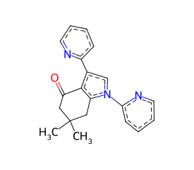 CC1(C)CC(=O)c2c(-c3ccccn3)cn(-c3ccccn3)c2C1